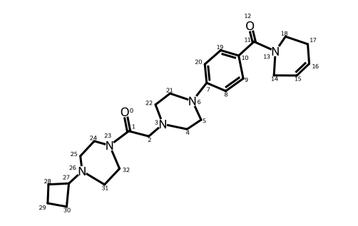 O=C(CN1CCN(c2ccc(C(=O)N3CC=CCC3)cc2)CC1)N1CCN(C2CCC2)CC1